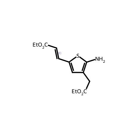 CCOC(=O)/C=C/c1cc(CC(=O)OCC)c(N)s1